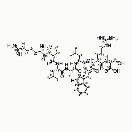 CC(C)C[C@H](NC(=O)[C@H](C)NC(=O)[C@H](CC(C)C)NC(=O)[C@@H]1CCCN1C(=O)[C@@H](N)CCCNC(=N)N)C(=O)N[C@@H](Cc1c[nH]c2ccccc12)C(=O)N[C@@H](CCCNC(=N)N)C(=O)N[C@@H](CO)C(=O)O